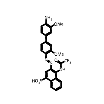 COc1cc(-c2ccc(/N=N/c3cc(S(=O)(=O)O)c4ccccc4c3NC(=O)C(F)(F)F)c(OC)c2)ccc1N